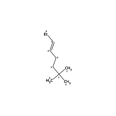 [CH2]C(C)(C)CCC=CCC